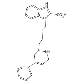 O=C(O)c1[nH]c2ccccc2c1CCCCC1CC(c2ccccc2)=CCN1